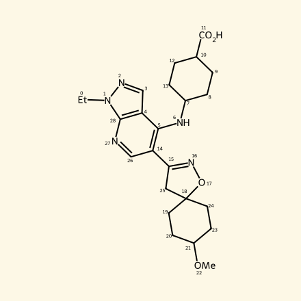 CCn1ncc2c(NC3CCC(C(=O)O)CC3)c(C3=NOC4(CCC(OC)CC4)C3)cnc21